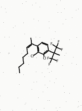 CCCCC/C=C(/C)c1ccc(C(C)(C(F)(F)F)C(F)(F)F)c(Cl)c1Cl